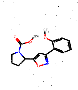 CC(C)(C)OC(=O)N1CCCC1c1cc(-c2ccccc2OC(F)(F)F)no1